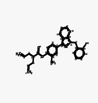 C=CCN(CC=C)C(=O)Oc1cnc(-c2nn(Cc3ccccc3F)c3ncccc23)nc1N